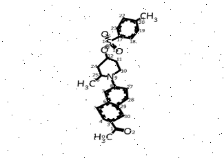 CC(=O)c1ccc2cc(N3CCC(OS(=O)(=O)c4ccc(C)cc4)CC3C)ccc2c1